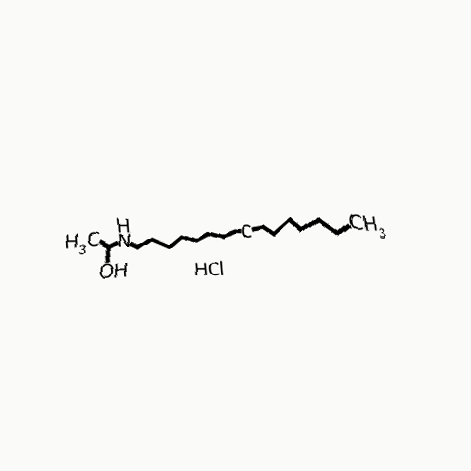 CCCCCCCCCCCCCCCCNC(C)O.Cl